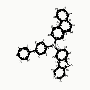 c1ccc(-c2ccc(N(c3ccc4c(ccc5ccccc54)c3)c3ccc4sc5ccncc5c4c3)cc2)cc1